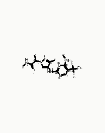 CNC(=O)C(C)n1cc(Nc2ncc(C(F)(F)F)c(NC)n2)c(C)n1